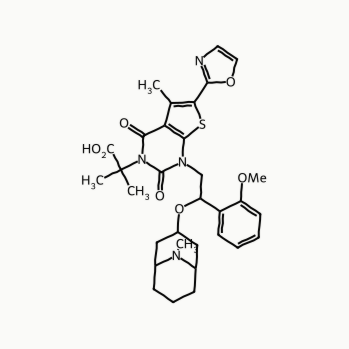 COc1ccccc1C(Cn1c(=O)n(C(C)(C)C(=O)O)c(=O)c2c(C)c(-c3ncco3)sc21)OC1CC2CCCC(C1)N2C